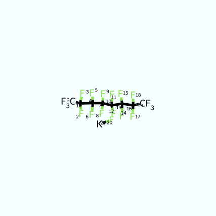 FC(F)(F)C(F)(F)C(F)(F)C(F)(F)C(F)(F)C(F)(F)C(F)(F)C(F)(F)F.[F][K]